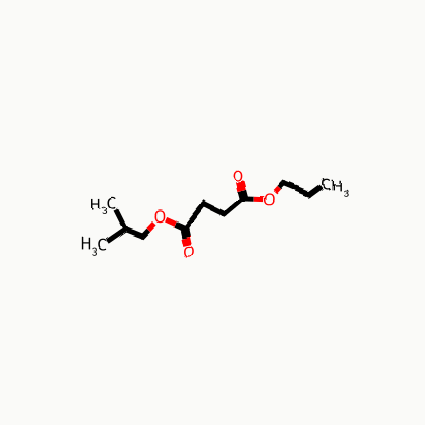 CCCOC(=O)CCC(=O)OCC(C)C